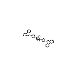 c1ccc2c(c1)cc(-c1ccc(-c3cnc(-c4ccc(-c5cc6ccccc6c6ccccc56)cc4)pc3)cc1)c1ccccc12